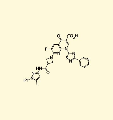 Cc1cc(NC(=O)C2CN(c3nc4c(cc3F)c(=O)c(C(=O)O)cn4-c3nc(-c4cccnc4)ns3)C2)nn1C(C)C